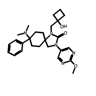 COc1ncc(N2CC3(CCC(c4ccccc4)(N(C)C)CC3)N(CC3(O)CCC3)C2=O)cn1